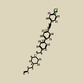 C=CCC[C@H]1CC[C@H](CCc2ccc(-c3ccc(C#Cc4ccc(Cl)cc4)cc3)cc2)CC1